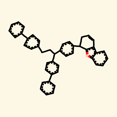 C1=Cc2c(oc3ccccc23)C(c2ccc(C(CCc3ccc(-c4ccccc4)cc3)c3ccc(-c4ccccc4)cc3)cc2)C1